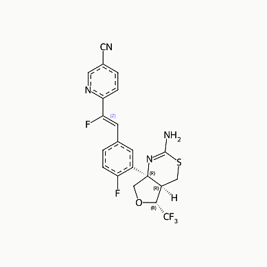 N#Cc1ccc(/C(F)=C/c2ccc(F)c([C@@]34CO[C@@H](C(F)(F)F)[C@@H]3CSC(N)=N4)c2)nc1